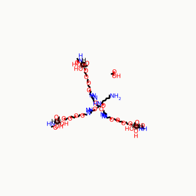 CC(=O)N[C@H]1[C@H]2OC[C@](COCCOCCOCCOCCn3cc(COCC(COCc4cn(CCOCCOCCOCCOC[C@@]56CO[C@@H](O5)[C@H](NC(C)=O)[C@@H](O)[C@H]6O)nn4)(COCc4cn(CCOCCOCCOCCOC[C@@]56CO[C@@H](O5)[C@H](NC(C)=O)[C@@H](O)[C@H]6O)nn4)NC(=O)CCCCCN)nn3)(O2)[C@H](O)[C@@H]1O.CC(=O)O